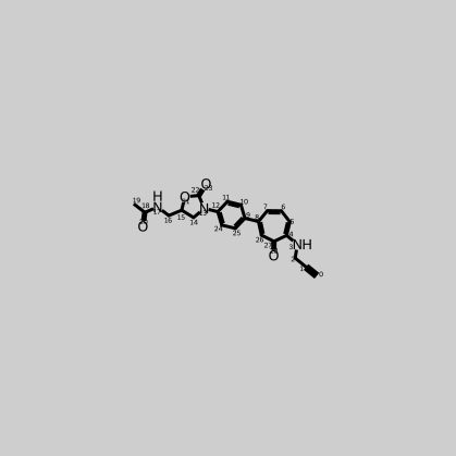 C#CCNc1cccc(-c2ccc(N3CC(CNC(C)=O)OC3=O)cc2)cc1=O